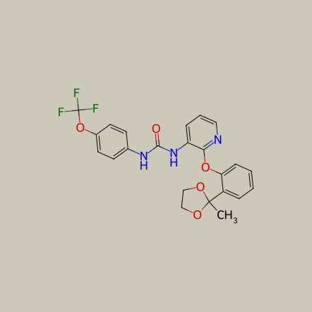 CC1(c2ccccc2Oc2ncccc2NC(=O)Nc2ccc(OC(F)(F)F)cc2)OCCO1